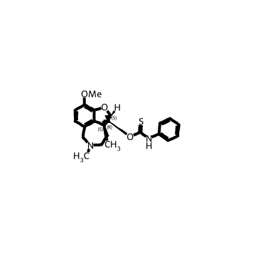 COc1ccc2c3c1O[C@H]1C[C@@H](OC(=S)Nc4ccccc4)C(C)[C@@]31CCN(C)C2